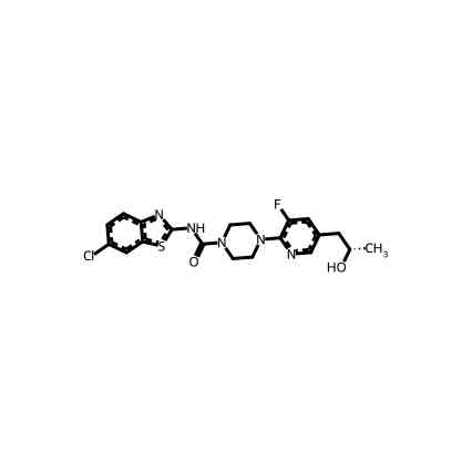 C[C@H](O)Cc1cnc(N2CCN(C(=O)Nc3nc4ccc(Cl)cc4s3)CC2)c(F)c1